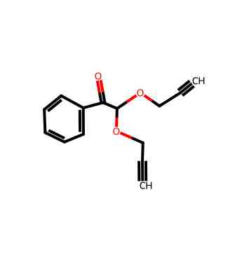 C#CCOC(OCC#C)C(=O)c1ccccc1